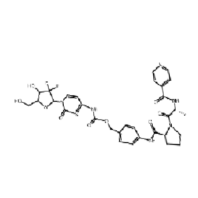 C[C@@H](NC(=O)c1ccncc1)C(=O)N1CCC[C@H]1C(=O)Nc1ccc(COC(=O)Nc2ccn(C3OC(CO)C(O)C3(F)F)c(=O)n2)cc1